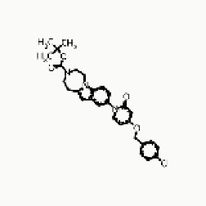 CC(C)(C)OC(=O)N1CCc2cc3cc(-n4ccc(OCc5ccc(Cl)cc5)cc4=O)ccc3n2CC1